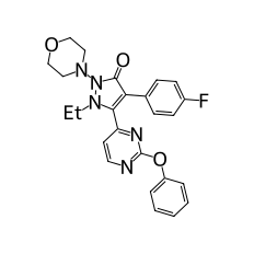 CCn1c(-c2ccnc(Oc3ccccc3)n2)c(-c2ccc(F)cc2)c(=O)n1N1CCOCC1